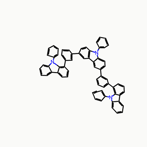 c1ccc(-n2c3ccc(-c4cccc(-c5cccc6c7ccccc7n(-c7ccccc7)c56)c4)cc3c3cc(-c4cccc(-c5cccc6c7ccccc7n(-c7ccccc7)c56)c4)ccc32)cc1